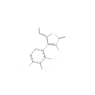 CCOC(=O)C1NC(=CN)C(c2ccc(OC)c(OC)c2OC)=C1Br